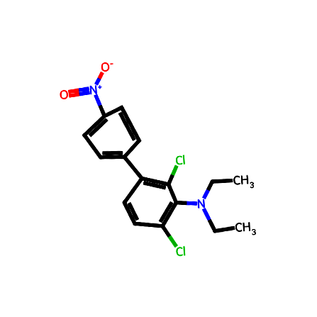 CCN(CC)c1c(Cl)ccc(-c2ccc([N+](=O)[O-])cc2)c1Cl